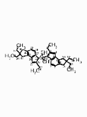 CCC1=Cc2c(ccc3c2CC(CC)(CC)C3)C1[Si](C)(C)C1C(CC)=Cc2c1ccc1c2CC(CC)(CC)C1